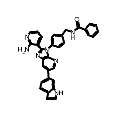 Nc1ncccc1-c1nc2cc(-c3ccc4cc[nH]c4c3)cnc2n1-c1ccc(CNC(=O)c2ccccc2)cc1